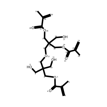 C=C(C)C(=O)OCC(CO)(CO)COCC(CO)(COC(=O)C(=C)C)COC(=O)C(=C)C